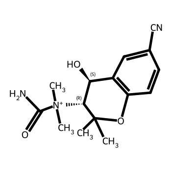 CC1(C)Oc2ccc(C#N)cc2[C@H](O)[C@H]1[N+](C)(C)C(N)=O